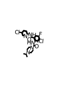 CC(C)N1CCN(C(=O)Nc2ccc(F)cc2C(=O)Nc2ccc(Cl)cn2)CC1.Cl